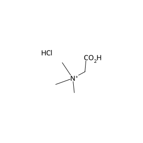 C[N+](C)(C)CC(=O)O.Cl